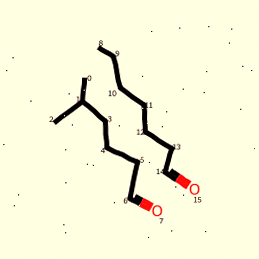 CC(C)CCCC=O.CCCCCCC=O